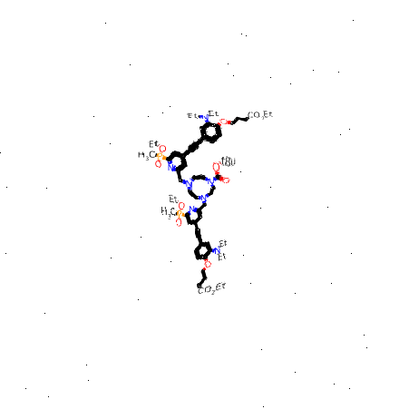 CCOC(=O)CCCOc1ccc(C#Cc2cc(CN3CCN(Cc4cc(C#Cc5ccc(OCCCC(=O)OCC)c(N(CC)CC)c5)cc(P(C)(=O)OCC)n4)CCN(C(=O)OC(C)(C)C)CC3)nc(P(C)(=O)OCC)c2)cc1N(CC)CC